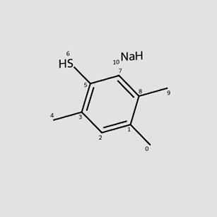 Cc1cc(C)c(S)cc1C.[NaH]